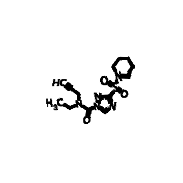 C#CCN(CC)C(=O)n1cnc(S(=O)(=O)N2CCCCC2)n1